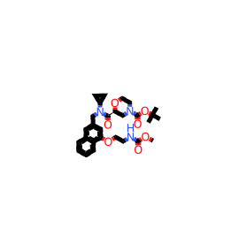 COC(=O)NCCOc1cc(CN(C(=O)[C@H]2CN(C(=O)OC(C)(C)C)CCO2)C2CC2)cc2ccccc12